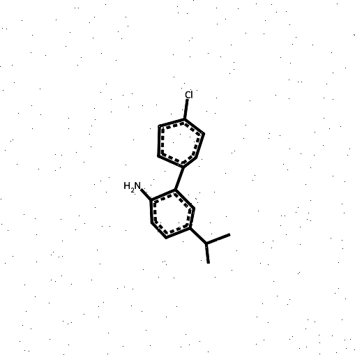 CC(C)c1ccc(N)c(-c2ccc(Cl)cc2)c1